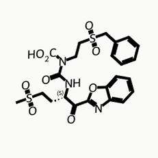 CS(=O)(=O)CC[C@H](NC(=O)N(CCS(=O)(=O)Cc1ccccc1)C(=O)O)C(=O)c1nc2ccccc2o1